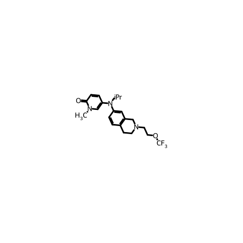 CC(C)N(c1ccc2c(c1)CN(CCOC(F)(F)F)CC2)c1ccc(=O)n(C)c1